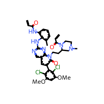 C=CC(=O)Nc1cccc(C)c1Nc1ncc2cc(-c3c(Cl)c(OC)cc(OC)c3Cl)c(=O)n(CCC3CN(C)CCN3C(=O)C=C)c2n1